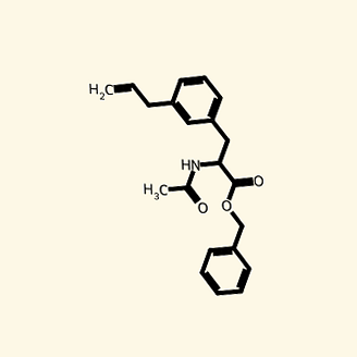 C=CCc1cccc(CC(NC(C)=O)C(=O)OCc2ccccc2)c1